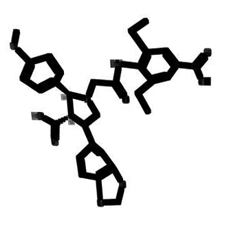 CCc1cc(C(=O)O)cc(CC)c1NC(=O)CN1CC(c2ccc3c(c2)OCO3)[C@H](C(=O)O)[C@H]1c1ccc(OC)cc1